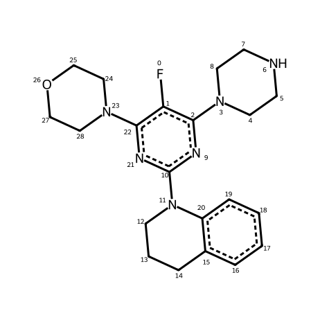 Fc1c(N2CCNCC2)nc(N2CCCc3ccccc32)nc1N1CCOCC1